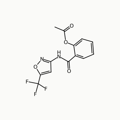 CC(=O)Oc1ccccc1C(=O)Nc1cc(C(F)(F)F)on1